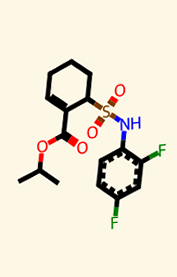 CC(C)OC(=O)C1=CCCCC1S(=O)(=O)Nc1ccc(F)cc1F